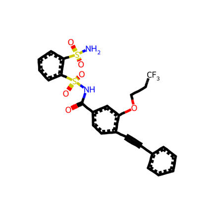 NS(=O)(=O)c1ccccc1S(=O)(=O)NC(=O)c1ccc(C#Cc2ccccc2)c(OCCC(F)(F)F)c1